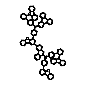 c1ccc(-n2c3ccccc3c3ccccc32)c(-c2ccc(N(c3ccc(-c4cc(-c5ccc6cc(N(c7ccc(-c8ccccc8-n8c9ccccc9c9ccccc98)cc7)c7ccc(-c8cccc9c8oc8ccccc89)cc7)c7ccccc7c6c5)cc5c4oc4ccccc45)cc3)c3ccc4c5ccccc5c5ccccc5c4c3)cc2)c1